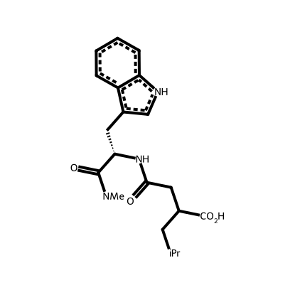 CNC(=O)[C@H](Cc1c[nH]c2ccccc12)NC(=O)CC(CC(C)C)C(=O)O